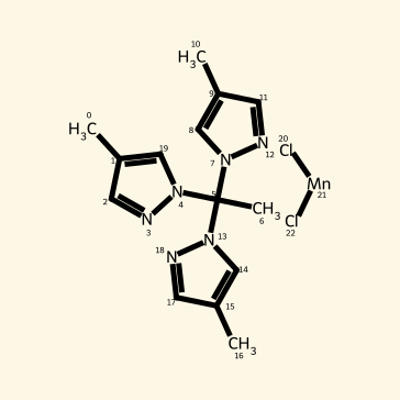 Cc1cnn(C(C)(n2cc(C)cn2)n2cc(C)cn2)c1.[Cl][Mn][Cl]